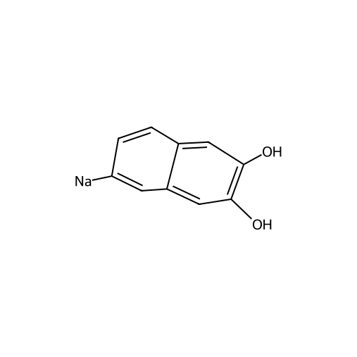 Oc1cc2cc[c]([Na])cc2cc1O